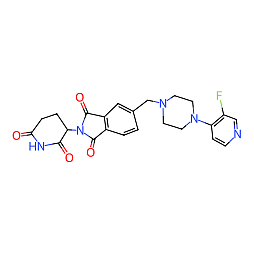 O=C1CCC(N2C(=O)c3ccc(CN4CCN(c5ccncc5F)CC4)cc3C2=O)C(=O)N1